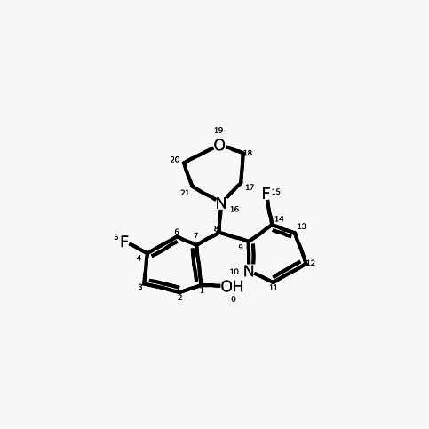 Oc1ccc(F)cc1C(c1ncccc1F)N1CCOCC1